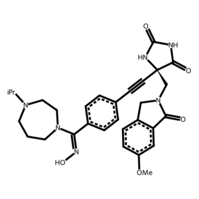 COc1ccc2c(c1)C(=O)N(C[C@@]1(C#Cc3ccc(C(=NO)N4CCCN(C(C)C)CC4)cc3)NC(=O)NC1=O)C2